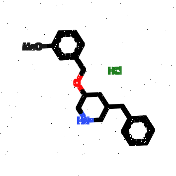 COc1cccc(COC2CNCC(Cc3ccccc3)C2)c1.Cl